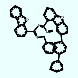 C=N/C(=N\C(=N/Cc1ccccc1)c1cccc2c1oc1ccccc12)c1cccc2oc3ccc(-c4ccc(-c5ccccc5)cc4)cc3c12